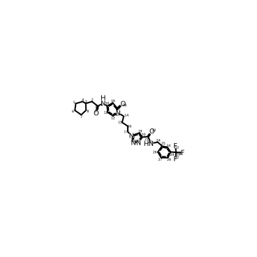 O=C(CC1CCCCC1)Nc1ccn(CCCCn2cc(C(=O)NCc3cccc(C(F)(F)F)c3)nn2)c(=O)c1